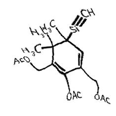 C#[Si]C1(C)C=C(COC(C)=O)C(OC(C)=O)=C(COC(C)=O)C1(C)C